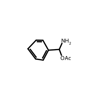 CC(=O)OC(N)c1ccccc1